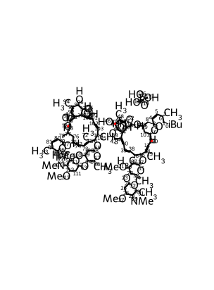 CC[C@H](C)[C@H]1O[C@]2(C=C[C@@H]1C)C[C@@H]1C[C@@H](C/C=C(\C)[C@@H](O[C@H]3C[C@H](OC)[C@@H](O[C@H]4C[C@H](OC)[C@@H](NC)[C@H](C)O4)[C@H](C)O3)[C@@H](C)/C=C/C=C3\CO[C@@H]4[C@H](O)C(C)=C[C@@H](C(=O)O1)[C@]34O)O2.CN[C@H]1[C@H](C)O[C@@H](O[C@H]2[C@H](C)O[C@@H](O[C@@H]3/C(C)=C/C[C@@H]4C[C@@H](C[C@]5(C=C[C@H](C)[C@@H](C(C)C)O5)O4)OC(=O)[C@@H]4C=C(C)[C@@H](O)[C@H]5OC/C(=C\C=C\[C@@H]3C)[C@]54O)C[C@@H]2OC)C[C@@H]1OC.O=P(O)(O)O